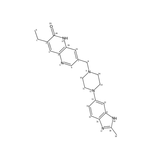 CCc1cc2ncc(CN3CCN(c4ccc5nc(C)[nH]c5c4)CC3)cc2[nH]c1=O